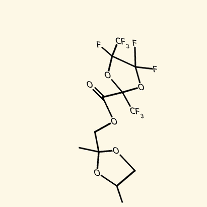 CC1COC(C)(COC(=O)C2(C(F)(F)F)OC(F)(F)C(F)(C(F)(F)F)O2)O1